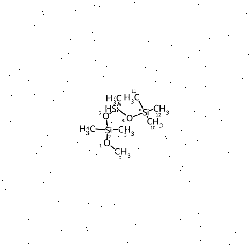 CO[Si](C)(C)O[SiH](C)O[Si](C)(C)C